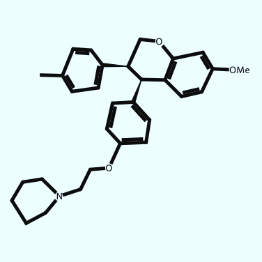 COc1ccc2c(c1)OC[C@H](c1ccc(C)cc1)[C@@H]2c1ccc(OCCN2CCCCC2)cc1